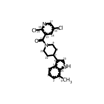 Cc1cccc2c(C3CCN(C(=O)c4cc(Cl)cnc4Cl)CC3)c[nH]c12